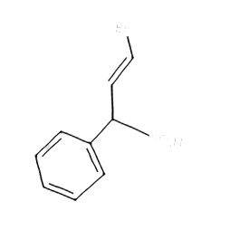 CCC=CC(c1ccccc1)S(=O)(=O)O